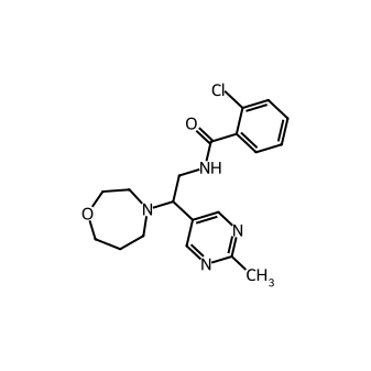 Cc1ncc(C(CNC(=O)c2ccccc2Cl)N2CCCOCC2)cn1